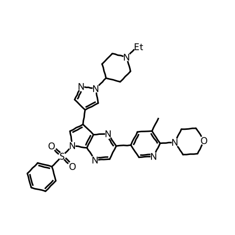 CCN1CCC(n2cc(-c3cn(S(=O)(=O)c4ccccc4)c4ncc(-c5cnc(N6CCOCC6)c(C)c5)nc34)cn2)CC1